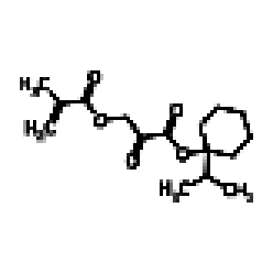 C=C(C)C(=O)OCC(=O)C(=O)OC1(C(C)C)CCCCC1